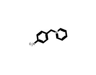 O=[N+]([O-])c1ccc(C[n+]2ccccc2)cc1